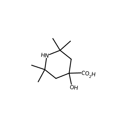 CC1(C)CC(O)(C(=O)O)CC(C)(C)N1